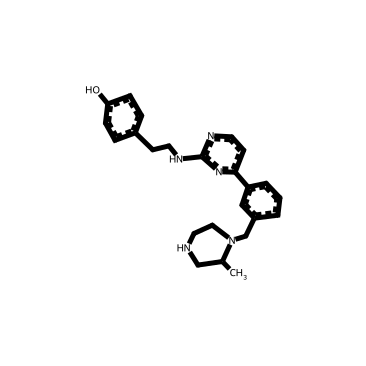 CC1CNCCN1Cc1cccc(-c2ccnc(NCCc3ccc(O)cc3)n2)c1